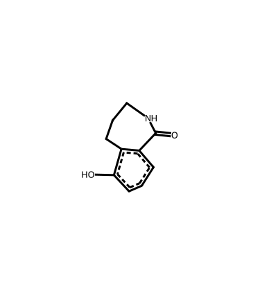 O=C1NCCCc2c(O)cccc21